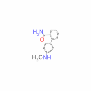 CNc1ccc(-c2ccccc2C(N)=O)cc1